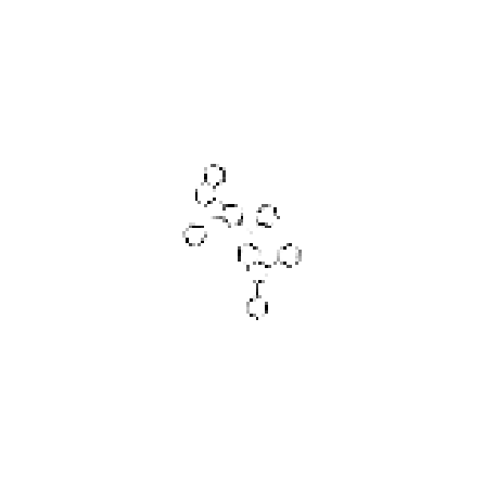 c1ccc(-c2nc(-c3ccccc3)c3cc(-n4c5ccccc5c5cc6c7c8ccccc8ccc7n(-c7ccccc7)c6cc54)ccc3n2)cc1